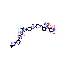 CN(C[C@H]1CC[C@H](n2cc(NC(=O)c3coc(-c4ccnc(NCC5CC5)c4)n3)c(C(F)F)n2)CC1)C1CCN(Cc2cccc3c2n(C)c(=O)n3C2CCC(=O)NC2O)CC1